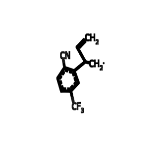 [CH2]C(C=C)c1cc(C(F)(F)F)ccc1C#N